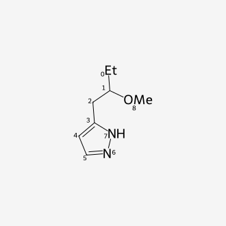 CCC(Cc1ccn[nH]1)OC